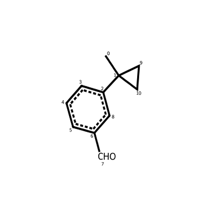 CC1(c2cccc(C=O)c2)CC1